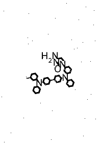 Cc1cccc(N(c2ccccc2)c2ccc(-c3ccc(N(c4ccccc4)c4cccc(-n5ccc(N)nc5=O)c4)cc3)cc2)c1